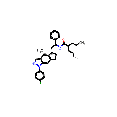 CCCC(CCC)C(=O)NC(C[C@H]1CCC2=C1[C@@H](C)C1=CNN(c3ccc(F)cc3)C1=C2)c1ccccc1